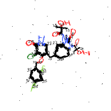 CC(C)(O)C(=O)n1c(=O)n(C(=O)C(C)(C)O)c2cc(Cc3c[nH]c(=O)c(Cl)c3OCc3ccc(F)cc3F)ccc21